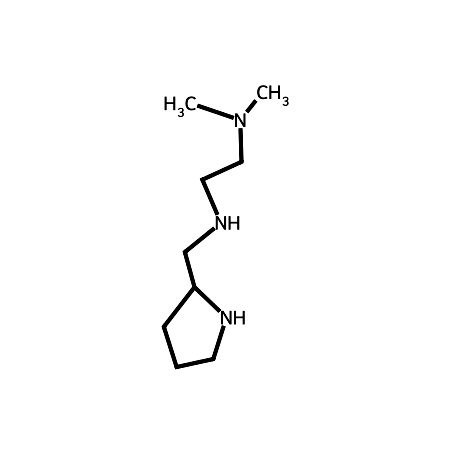 CN(C)CCNCC1CCCN1